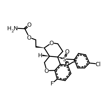 NC(=O)OCC[C@H]1OCC[C@]2(S(=O)(=O)c3ccc(Cl)cc3)c3c(F)ccc(F)c3OC[C@H]12